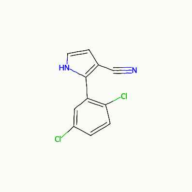 N#Cc1cc[nH]c1-c1cc(Cl)ccc1Cl